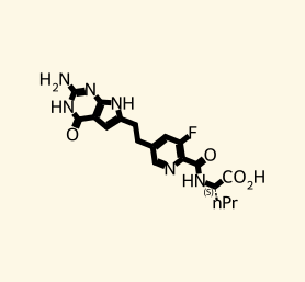 CCC[C@H](NC(=O)c1ncc(CCc2cc3c(=O)[nH]c(N)nc3[nH]2)cc1F)C(=O)O